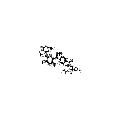 CC(C)(I)CNC(=O)c1ccn2c(-c3nc(N[C@@H]4CNCC[C@H]4F)c(F)cc3F)cnc2c1